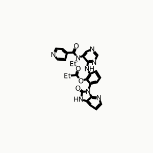 CCC(=O)Oc1c(Nc2ncncc2N(CC)C(=O)c2ccncc2)cccc1-n1c(=O)[nH]c2cccnc21